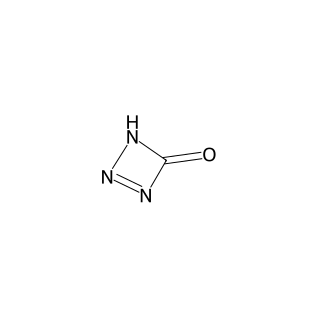 O=C1N=NN1